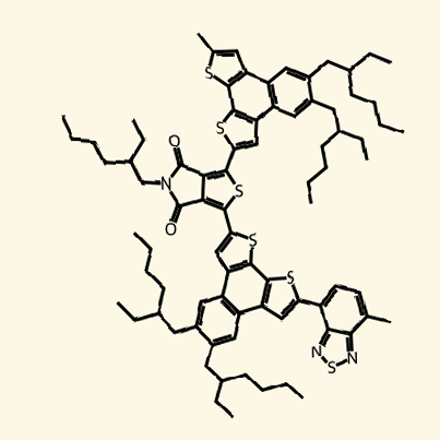 CCCCC(CC)Cc1cc2c(cc1CC(CC)CCCC)c1cc(-c3sc(-c4cc5c6cc(CC(CC)CCCC)c(CC(CC)CCCC)cc6c6cc(-c7ccc(C)c8nsnc78)sc6c5s4)c4c3C(=O)N(CC(CC)CCCC)C4=O)sc1c1sc(C)cc21